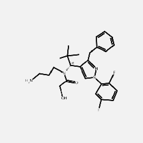 CC(C)(C)[C@H](c1cn(-c2cc(F)ccc2F)nc1Cc1ccccc1)N(CCCN)C(=O)CO